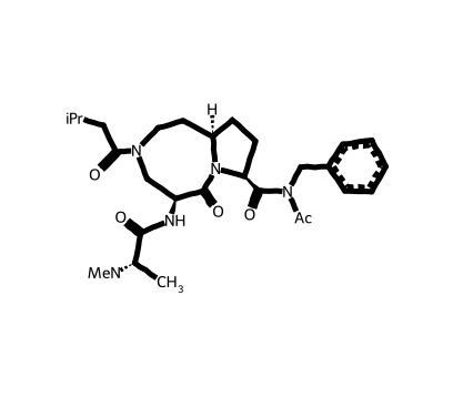 CN[C@@H](C)C(=O)N[C@H]1CN(C(=O)CC(C)C)CC[C@H]2CC[C@@H](C(=O)N(Cc3ccccc3)C(C)=O)N2C1=O